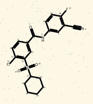 N#Cc1cc(NC(=O)c2ccc(Cl)c(S(=O)(=O)C3CCCCC3)c2)ccc1F